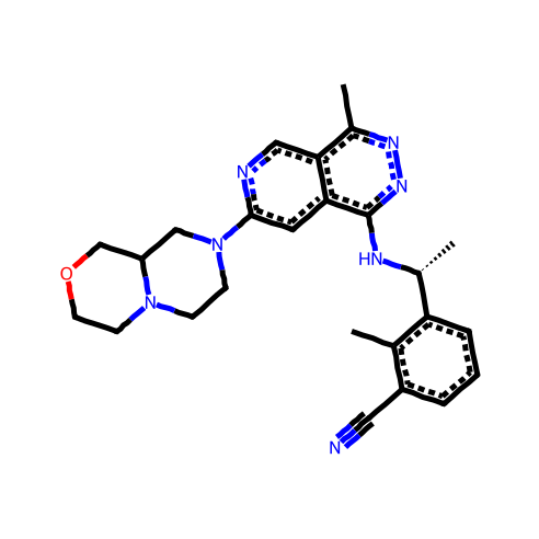 Cc1c(C#N)cccc1[C@@H](C)Nc1nnc(C)c2cnc(N3CCN4CCOCC4C3)cc12